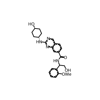 COc1ccccc1C(CO)NC(=O)c1ccc2cnc(N[C@H]3CC[C@H](O)CC3)nc2c1